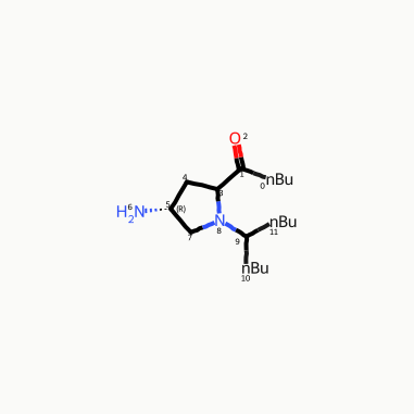 CCCCC(=O)C1C[C@@H](N)CN1C(CCCC)CCCC